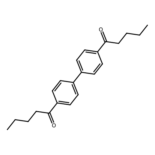 CCCCC(=O)c1ccc(-c2ccc(C(=O)CCCC)cc2)cc1